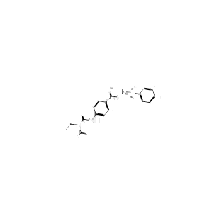 CCN(C(=O)O)C(=S)Nc1ccc(C(=O)NNS(=O)(=O)c2ccccc2)cc1